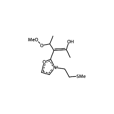 COOC(C)/C(=C(/C)O)c1occ[n+]1CCSC